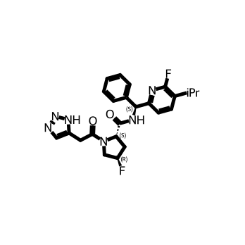 CC(C)c1ccc([C@@H](NC(=O)[C@@H]2C[C@@H](F)CN2C(=O)Cc2cnn[nH]2)c2ccccc2)nc1F